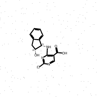 O=C(O)c1cnc(Cl)nc1N[C@H]1c2ccccc2C[C@H]1O